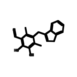 Cc1c(O)c(O)c(C=O)c(C)c1CC1=CCc2ccccc21